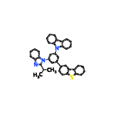 CC(C)c1nc2ccccc2n1-c1cc(-c2ccc3sc4ccccc4c3c2)cc(-n2c3ccccc3c3ccccc32)c1